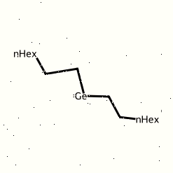 CCCCCCC[CH2][Ge][CH2]CCCCCCC